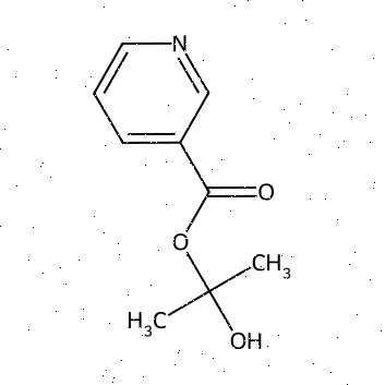 CC(C)(O)OC(=O)c1cccnc1